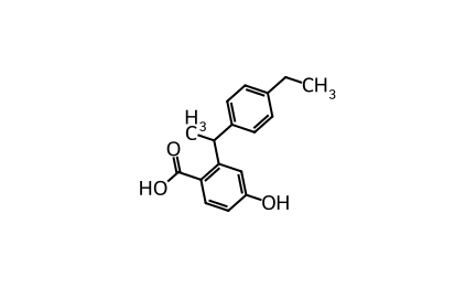 CCc1ccc(C(C)c2cc(O)ccc2C(=O)O)cc1